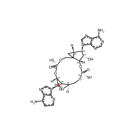 Nc1ncnc2c1ncn2[C@H]1[C@H](O)[C@@H]2O[P@](=O)(S)OC[C@H]3O[C@@H](n4cnc5c(N)ccnc54)[C@H](O[P@](=O)(S)OCC24C[C@H]14)[C@@H]3O